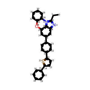 CCc1nc2cc(-c3ccc(-c4ccc(-c5ccccc5)s4)cc3)cc3c2n1-c1ccccc1O3